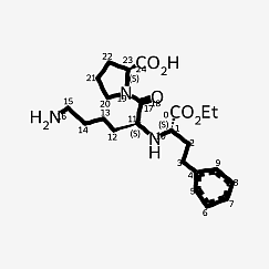 CCOC(=O)[C@H](CCc1ccccc1)N[C@@H](CCCCN)C(=O)N1CCC[C@H]1C(=O)O